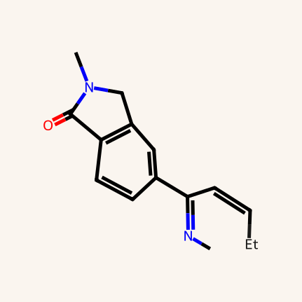 CC/C=C\C(=N/C)c1ccc2c(c1)CN(C)C2=O